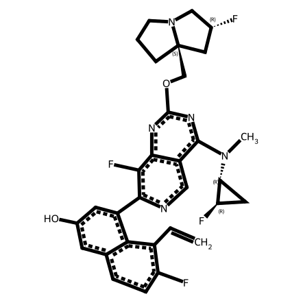 C=Cc1c(F)ccc2cc(O)cc(-c3ncc4c(N(C)[C@@H]5C[C@H]5F)nc(OC[C@@]56CCCN5C[C@H](F)C6)nc4c3F)c12